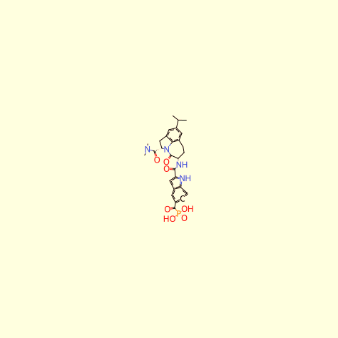 CC(C)c1cc2c3c(c1)C[C@@H](C(=O)N(C)C)N3C(=O)[C@@H](NC(=O)c1cc3cc(C(=O)P(=O)(O)O)ccc3[nH]1)CC2